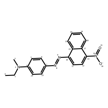 CCN(C)c1ccc(N=Nc2ccc([N+](=O)[O-])c3ccccc23)cc1